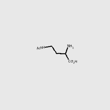 CC(=O)NCCC(N)C(=O)O